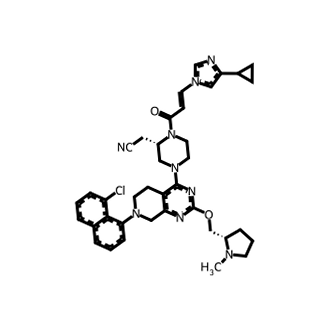 CN1CCC[C@H]1COc1nc2c(c(N3CCN(C(=O)/C=C/n4cnc(C5CC5)c4)[C@@H](CC#N)C3)n1)CCN(c1cccc3cccc(Cl)c13)C2